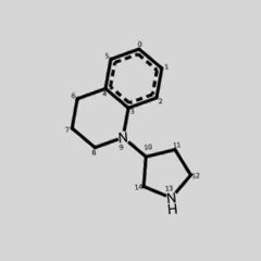 c1ccc2c(c1)CCCN2C1CCNC1